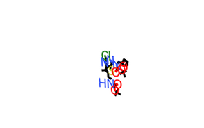 Cc1c(CCNC(=O)OC(C)(C)C)sc2c(N(Cc3ccco3)C(=O)OC(C)(C)C)nc(Cl)nc12